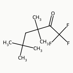 CC(C)(C)CC(C)(C)C(=O)C(F)(F)F